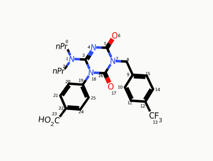 CCCN(CCC)c1nc(=O)n(Cc2ccc(C(F)(F)F)cc2)c(=O)n1-c1ccc(C(=O)O)cc1